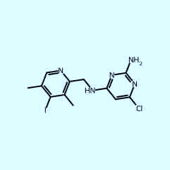 Cc1cnc(CNc2cc(Cl)nc(N)n2)c(C)c1I